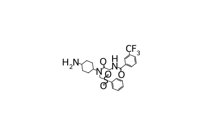 NC1CCC(N(CS(=O)(=O)c2ccccc2)C(=O)CNC(=O)c2cccc(C(F)(F)F)c2)CC1